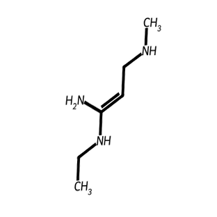 CCN/C(N)=C/CNC